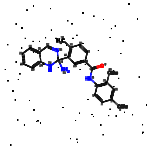 COc1ccc(NC(=O)c2ccc(C)c(C3(N)N=Cc4ccccc4N3)c2)c(OC)c1